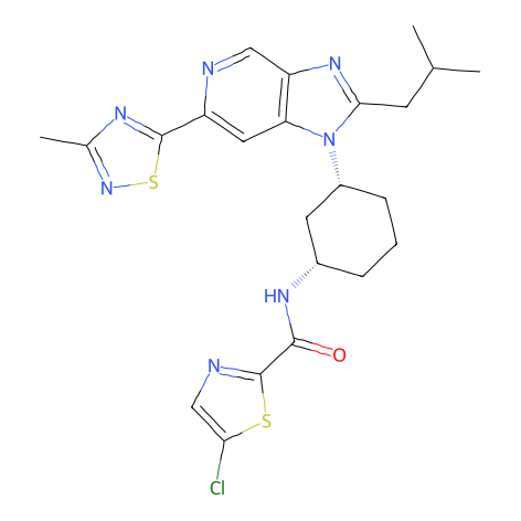 Cc1nsc(-c2cc3c(cn2)nc(CC(C)C)n3[C@@H]2CCC[C@H](NC(=O)c3ncc(Cl)s3)C2)n1